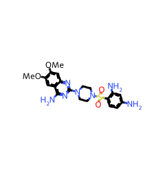 COc1cc2nc(N3CCN(S(=O)(=O)c4ccc(N)cc4N)CC3)nc(N)c2cc1OC